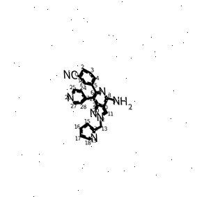 N#Cc1cccc(-c2nc(N)c3cn(Cc4ccccn4)nc3c2-c2ccncc2)c1